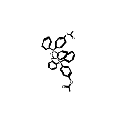 CC(=O)Oc1ccc(S(OC(=O)OS(c2ccccc2)(c2ccccc2)c2ccc(OC(C)=O)cc2)(c2ccccc2)c2ccccc2)cc1